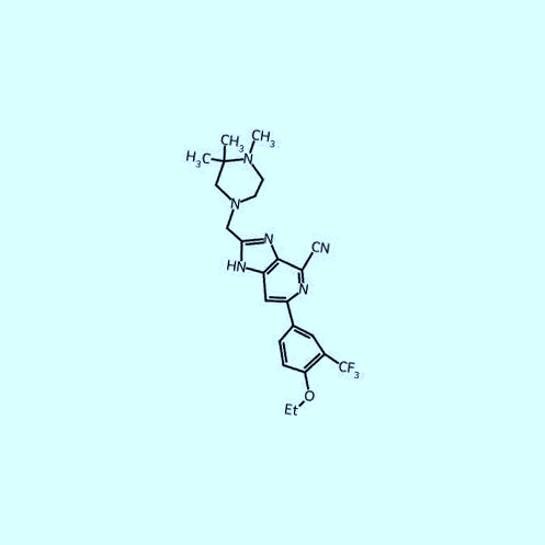 CCOc1ccc(-c2cc3[nH]c(CN4CCN(C)C(C)(C)C4)nc3c(C#N)n2)cc1C(F)(F)F